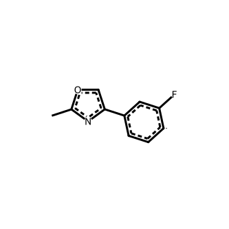 Cc1nc(-c2cc[c]c(F)c2)co1